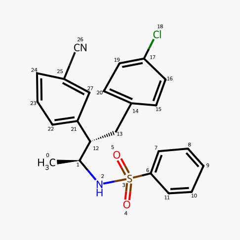 C[C@H](NS(=O)(=O)c1ccccc1)[C@@H](Cc1ccc(Cl)cc1)c1cccc(C#N)c1